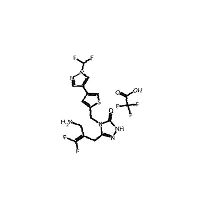 NCC(Cc1n[nH]c(=O)n1Cc1cc(-c2cnn(C(F)F)c2)cs1)=C(F)F.O=C(O)C(F)(F)F